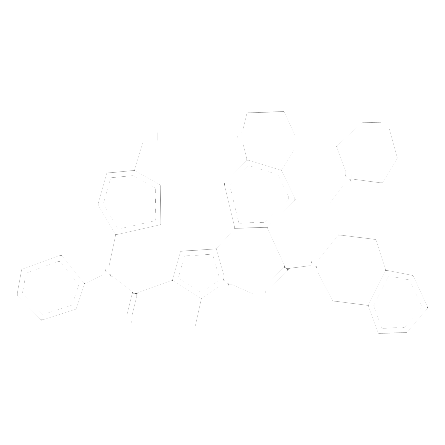 Cc1c(C(=O)N(c2ccccc2)c2ccc(O)cc2)cc(-c2cc3c(cc2C(=O)N2Cc4ccccc4C[C@H]2CN2CCOCC2)OCCO3)n1C